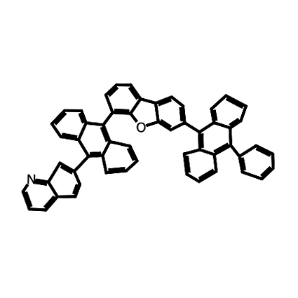 c1ccc(-c2c3ccccc3c(-c3ccc4c(c3)oc3c(-c5c6ccccc6c(-c6ccc7cccnc7c6)c6ccccc56)cccc34)c3ccccc23)cc1